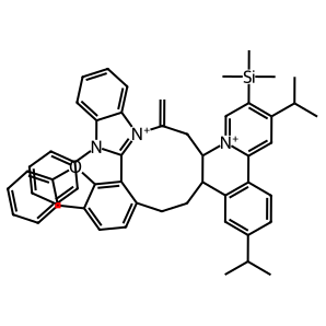 C=C1CC2C(CCc3ccc4c(oc5ccccc54)c3-c3n(-c4ccccc4)c4ccccc4[n+]31)c1cc(C(C)C)ccc1-c1cc(C(C)C)c([Si](C)(C)C)c[n+]12